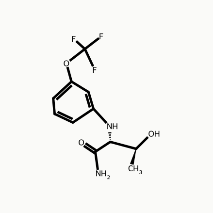 C[C@H](O)[C@@H](Nc1cccc(OC(F)(F)F)c1)C(N)=O